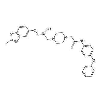 Cc1nc2cc(OC[C@H](O)CN3CCN(CC(=O)Nc4ccc(Oc5ccccc5)cc4)CC3)ccc2s1